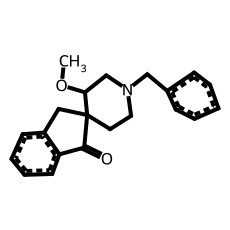 COC1CN(Cc2ccccc2)CCC12Cc1ccccc1C2=O